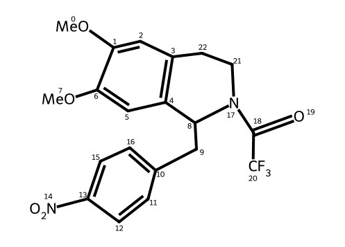 COc1cc2c(cc1OC)C(Cc1ccc([N+](=O)[O-])cc1)N(C(=O)C(F)(F)F)CC2